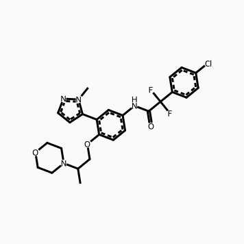 CC(COc1ccc(NC(=O)C(F)(F)c2ccc(Cl)cc2)cc1-c1ccnn1C)N1CCOCC1